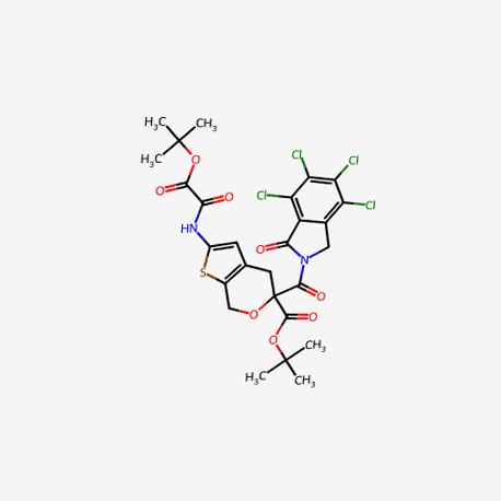 CC(C)(C)OC(=O)C(=O)Nc1cc2c(s1)COC(C(=O)OC(C)(C)C)(C(=O)N1Cc3c(Cl)c(Cl)c(Cl)c(Cl)c3C1=O)C2